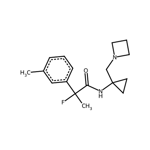 Cc1cccc(C(C)(F)C(=O)NC2(CN3CCC3)CC2)c1